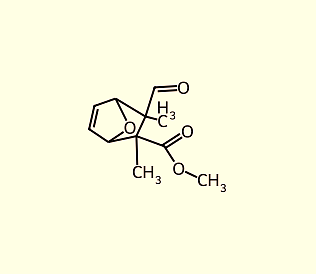 COC(=O)C1(C)C2C=CC(O2)C1(C)C=O